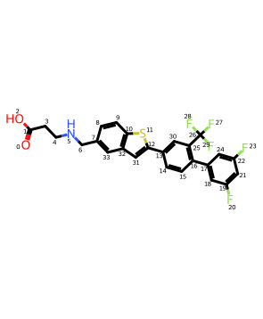 O=C(O)CCNCc1ccc2sc(-c3ccc(-c4cc(F)cc(F)c4)c(C(F)(F)F)c3)cc2c1